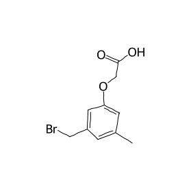 Cc1cc(CBr)cc(OCC(=O)O)c1